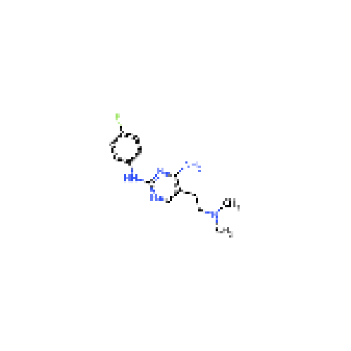 CN(C)CCc1cnc(Nc2ccc(F)cc2)nc1N